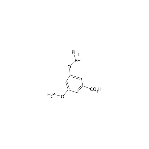 O=C(O)c1cc(OP)cc(OPP)c1